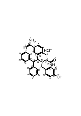 Cl.N=C(N)c1ccc(C[C@H](C(N)=O)N(Cc2ccc(O)cc2)C(=O)C(c2ccccc2)c2ccccc2)cc1